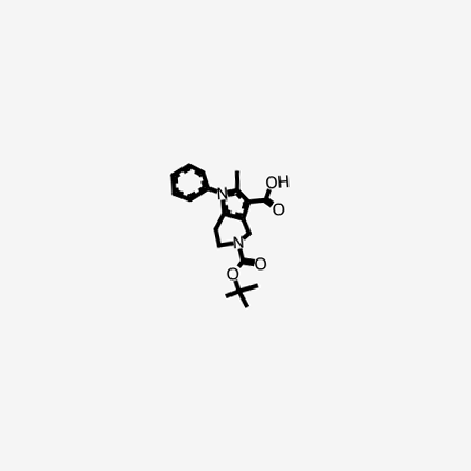 Cc1c(C(=O)O)c2c(n1-c1ccccc1)CCN(C(=O)OC(C)(C)C)C2